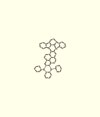 c1ccc(B2c3ccccc3B(c3ccccc3)c3c2cc2ccc4c5c(ccc3c25)cc2c4n3c4ccccc4c4ccc5c6ccccc6n2c5c43)cc1